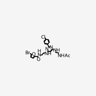 CC(=O)NCCNc1cc(NCCNC(=O)c2ccc(Br)o2)nc(-c2ccc(Cl)cc2)n1